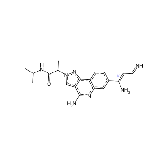 CC(C)NC(=O)C(C)n1cc2c(N)nc3cc(/C(N)=C/C=N)ccc3c2n1